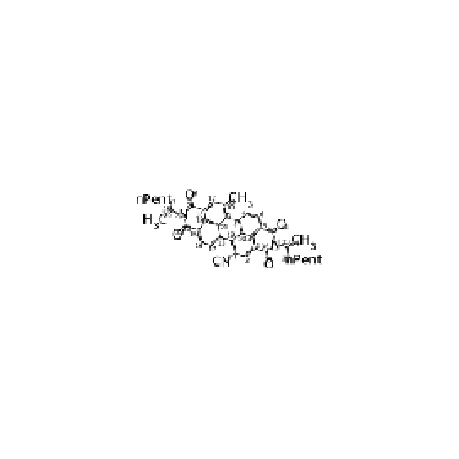 [C-]#[N+]c1cc2c3c(ccc4c5c(C)cc6c7c(ccc(c1c34)c75)C(=O)N(C(C)CCCCC)C6=O)C(=O)N(C(C)CCCCC)C2=O